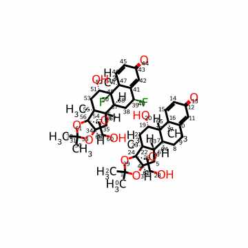 CC1(C)O[C@@H]2C[C@H]3[C@@H]4CCC5=CC(=O)C=C[C@]5(C)[C@H]4[C@@H](O)C[C@]3(C)[C@]2(C(=O)CO)O1.CC1(C)O[C@@H]2C[C@H]3[C@@H]4C[C@H](F)C5=CC(=O)C=C[C@]5(C)[C@@]4(F)[C@@H](O)C[C@]3(C)[C@]2(C(=O)CO)O1